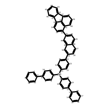 c1ccc(-c2ccc(N(c3ccc(-c4ccccc4)cc3)c3ccc(-c4ccc5ccc(-c6ccc7c8c(cccc68)-c6ccccc6-7)cc5c4)cc3)cc2)cc1